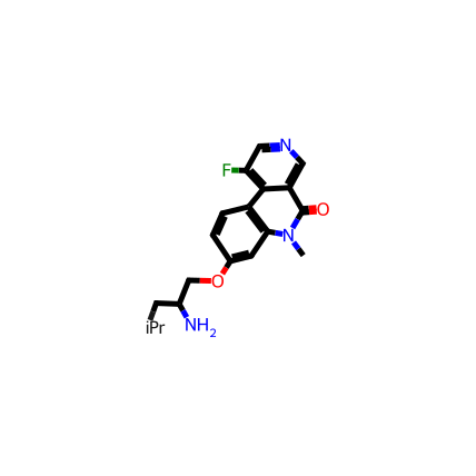 CC(C)CC(N)COc1ccc2c3c(F)cncc3c(=O)n(C)c2c1